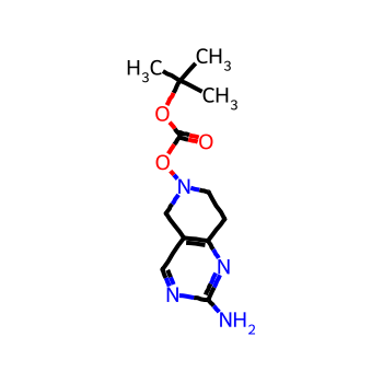 CC(C)(C)OC(=O)ON1CCc2nc(N)ncc2C1